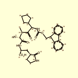 CCC[C@@H](C(=O)N[C@@H](C[C@@H]1CCNC1=O)C(=O)O)N(C)C(=O)C(NC(=O)OCC1c2ccccc2-c2ccccc21)C1CCCC1